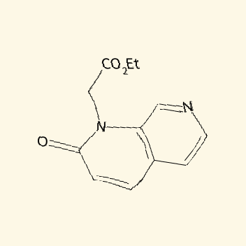 CCOC(=O)Cn1c(=O)ccc2ccncc21